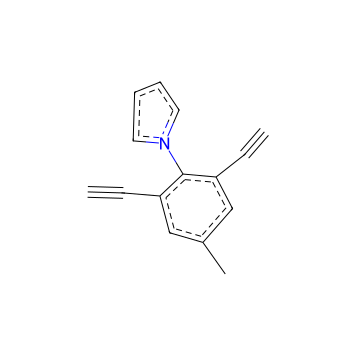 C#Cc1cc(C)cc(C#C)c1-n1cccc1